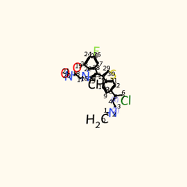 C=C/N=C\C=C(/CCl)c1ccc2c(-c3c(C)n(CC(=O)N=O)c4ccc(F)cc34)csc2c1